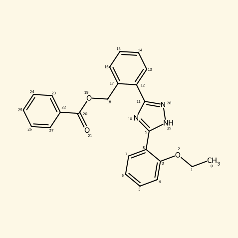 CCOc1ccccc1-c1nc(-c2ccccc2COC(=O)c2ccccc2)n[nH]1